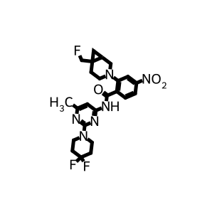 Cc1cc(NC(=O)c2ccc([N+](=O)[O-])cc2N2CCC3(CF)CC3C2)nc(N2CCC(F)(F)CC2)n1